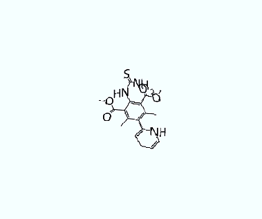 COC(=O)c1c(C)c(C2=CCC=CN2)c(C)c(C(=O)OC)c1NC(N)=S